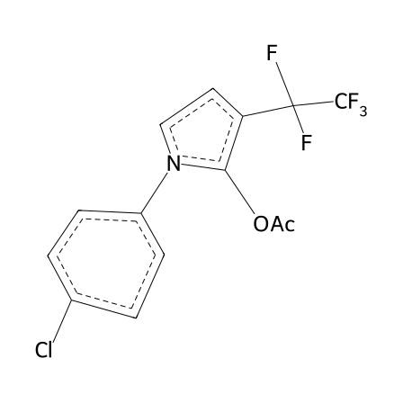 CC(=O)Oc1c(C(F)(F)C(F)(F)F)ccn1-c1ccc(Cl)cc1